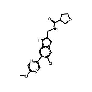 COc1cnc(-c2cc3[nH]c(CNC(=O)C4CCOC4)cc3cc2Cl)cn1